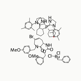 COc1ccc(CN2CC(Br)=CCC(NC(=O)OCc3ccccc3)C2=O)c(OC)c1.Cc1cc(C)c(N2CCNC2=C2CCCCC2P(=C2NCCN2c2c(C)cc(C)cc2C)(C2CCCCC2)C2CCCCC2)c(C)c1.[Cl][Ru]([Cl])=[CH]c1ccccc1